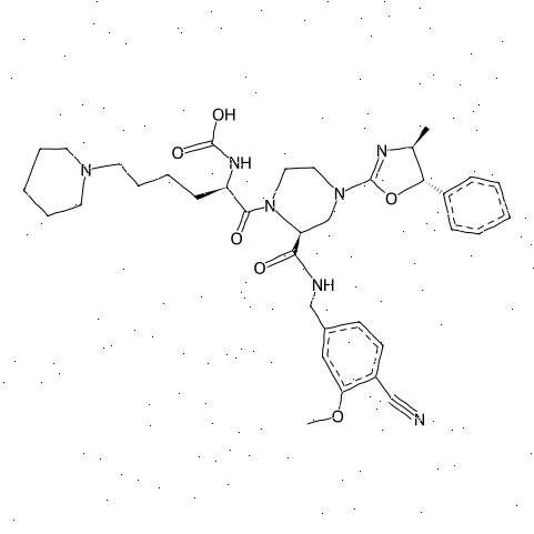 COc1cc(CNC(=O)[C@@H]2CN(C3=N[C@@H](C)[C@H](c4ccccc4)O3)CCN2C(=O)[C@@H](CCCCN2CCCCC2)NC(=O)O)ccc1C#N